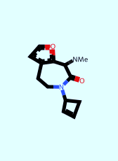 CNC1C(=O)N(C2C=CC2)CCc2ccoc21